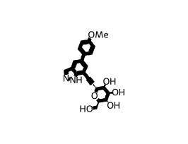 COc1ccc(-c2cc(C#C[C@H]3O[C@H](CO)[C@@H](O)[C@H](O)[C@@H]3O)c3[nH]ncc3c2)cc1